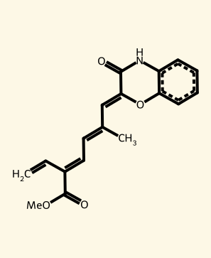 C=C\C(=C/C=C(C)/C=C1\Oc2ccccc2NC1=O)C(=O)OC